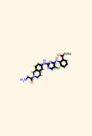 CNC(=O)c1ccccc1Nc1nc(Nc2ccc3c(c2)CCN(C(=O)CN)C3)ncc1Br